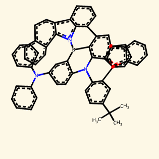 CC(C)(C)c1ccc(N2c3ccc(N(c4ccccc4)c4ccccc4)cc3B3c4c(cc5c(oc6ccccc65)c42)-c2cccc4c5ccc6ccccc6c5n3c24)c(-c2ccccc2)c1